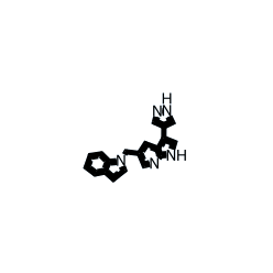 c1ccc2c(c1)ccn2Cc1cnc2[nH]cc(-c3cn[nH]c3)c2c1